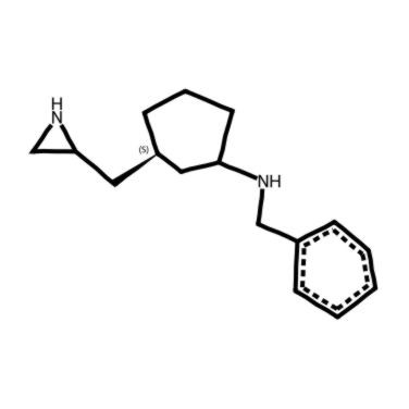 c1ccc(CNC2CCC[C@H](CC3CN3)C2)cc1